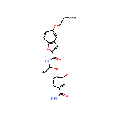 CCCC(NC(=O)c1cc2cc(OCCOC)ccc2o1)Oc1ccc(C(N)=O)cc1O